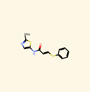 CSc1ncc(NC(=O)C=CSc2ccccc2)s1